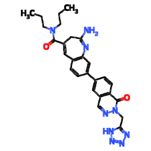 CCCN(CCC)C(=O)C1=Cc2ccc(-c3ccc4c(=O)n(Cc5nnn[nH]5)ncc4c3)cc2N=C(N)C1